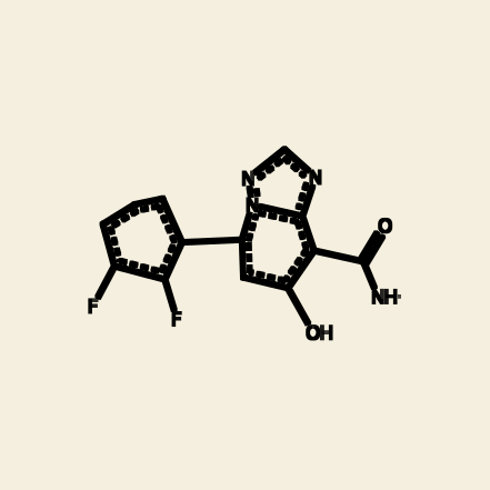 [NH]C(=O)c1c(O)cc(-c2cccc(F)c2F)n2ncnc12